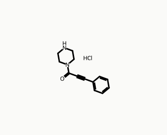 Cl.O=C(C#Cc1ccccc1)N1CCNCC1